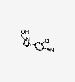 N#Cc1ccc(-n2ccc(CO)n2)cc1Cl